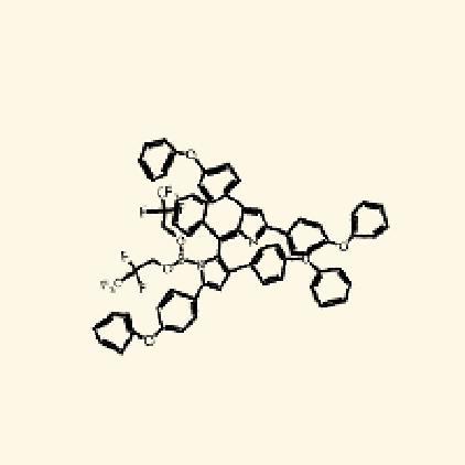 FC(F)(F)C(F)(F)COB(OCC(F)(F)C(F)(F)F)n1c(-c2ccc(Oc3ccccc3)cc2)cc(-c2ccc(Oc3ccccc3)cc2)c1/C(=C1\N=C(c2ccc(Oc3ccccc3)cc2)C=C1c1ccc(Oc2ccccc2)cc1)c1ccccc1